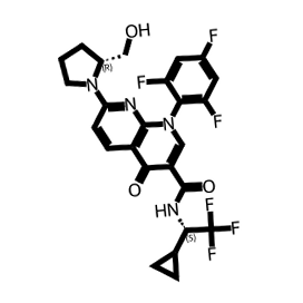 O=C(N[C@@H](C1CC1)C(F)(F)F)c1cn(-c2c(F)cc(F)cc2F)c2nc(N3CCC[C@@H]3CO)ccc2c1=O